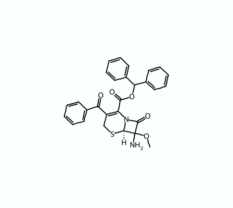 COC1(N)C(=O)N2C(C(=O)OC(c3ccccc3)c3ccccc3)=C(C(=O)c3ccccc3)CS[C@@H]21